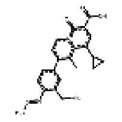 Cc1c(-c2ccc(N=NN)c(CN)c2)ccn2c(=O)c(C(=O)O)cc(C3CC3)c12